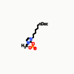 CCCCCCCCCCCCCCCCN1C=CN(C)C1OP(=O)=O